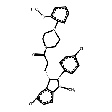 COc1ccccc1N1CCN(C(=O)CC[C@H]2c3cc(Cl)ccc3N(C)[C@@H]2c2ccc(Cl)cc2)CC1